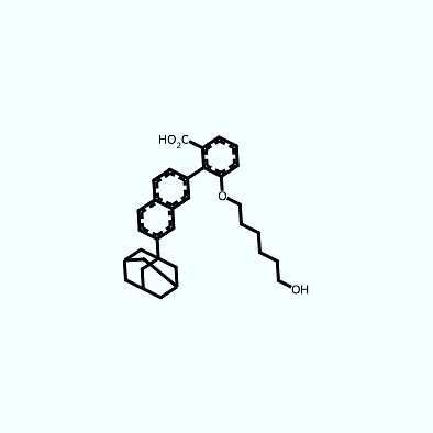 O=C(O)c1cccc(OCCCCCCO)c1-c1ccc2ccc(C34CC5CC(CC(C5)C3)C4)cc2c1